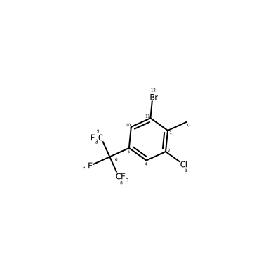 Cc1c(Cl)cc(C(F)(C(F)(F)F)C(F)(F)F)cc1Br